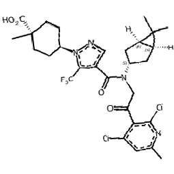 Cc1cc(Cl)c(C(=O)CN(C(=O)c2cnn([C@H]3CC[C@](C)(C(=O)O)CC3)c2C(F)(F)F)[C@@H]2C[C@@H]3[C@H](C2)C3(C)C)c(Cl)n1